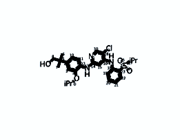 CC(C)Oc1cc(C(C)(C)CO)ccc1Nc1cc(Nc2ccccc2S(=O)(=O)C(C)C)c(Cl)cn1